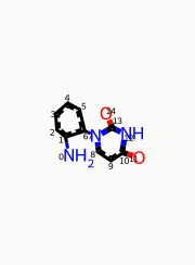 Nc1ccccc1-n1ccc(=O)[nH]c1=O